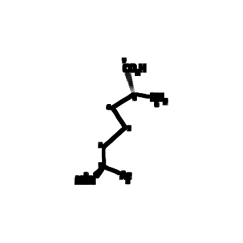 CN[C@@H](CCC[C@@H](N)C(=O)O)C(C)=O